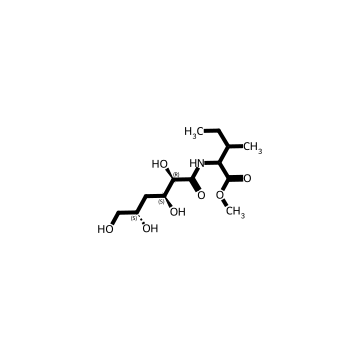 CCC(C)C(NC(=O)[C@H](O)[C@@H](O)C[C@H](O)CO)C(=O)OC